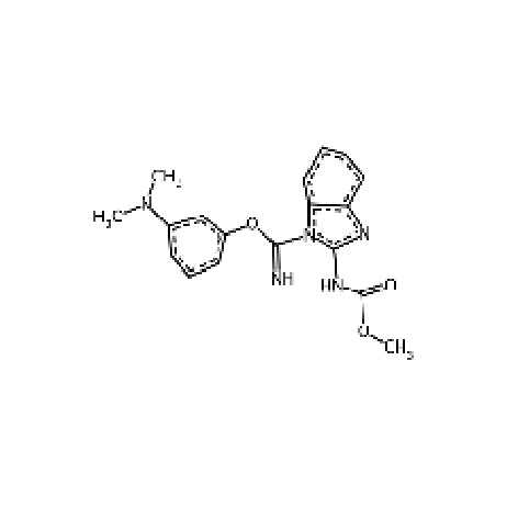 COC(=O)Nc1nc2ccccc2n1C(=N)Oc1cccc(N(C)C)c1